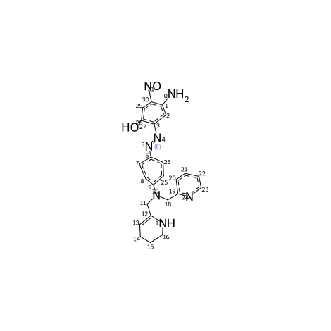 Nc1cc(/N=N/c2ccc(N(CC3=CCCCN3)Cc3ccccn3)cc2)c(O)cc1N=O